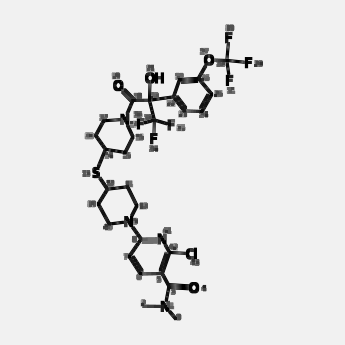 CN(C)C(=O)c1ccc(N2CCC(SC3CCN(C(=O)C(O)(c4cccc(OC(F)(F)F)c4)C(F)(F)F)CC3)CC2)nc1Cl